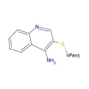 CCCCCSc1cnc2ccccc2c1N